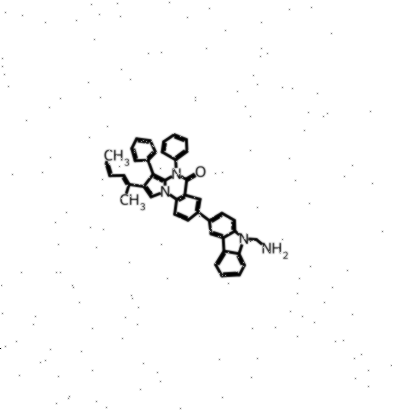 C/C=C\C=C(/C)c1cn2c3ccc(-c4ccc5c(c4)c4ccccc4n5CN)cc3c(=O)n(-c3ccccc3)c2c1-c1ccccc1